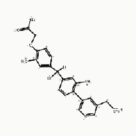 CCC(CC)(c1ccc(OCC(=O)C(C)(C)C)c(C)c1)c1ccc(-c2cncc(CC(=O)O)c2)c(C)c1